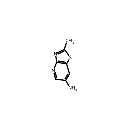 Cc1nc2ncc(N)cc2s1